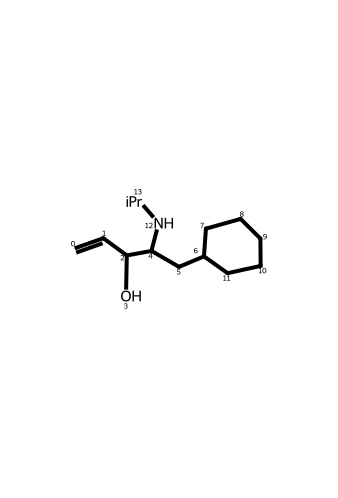 C=CC(O)C(CC1CCCCC1)NC(C)C